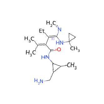 C=N/C(NC1(C)CC1)=C(\CC)C(C(=O)NC1C(C)C1CN)=C(C)C